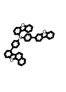 c1ccc2c(c1)ccc1c2oc2cccc(-c3ccc(N(c4ccc(-c5ccc6c(c5)oc5ccccc56)cc4)c4cccc5oc6ccccc6c45)cc3)c21